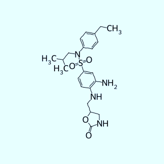 CCc1ccc(N(CC(C)C)S(=O)(=O)c2ccc(NCC3CNC(=O)O3)c(N)c2)cc1